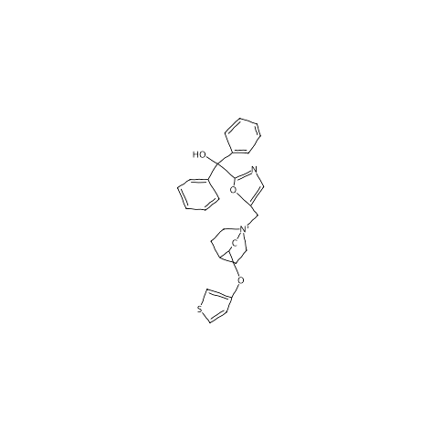 OC(c1ccccc1)(c1ccccc1)c1ncc(C[N+]23CCC(CC2)C(Oc2ccsc2)C3)o1